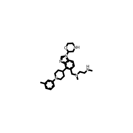 CNCCN(C)Cc1ccc2c(ncn2C2CNCCO2)c1C1CCN(c2cccc(C)c2)CC1